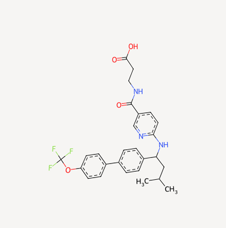 CC(C)CC(Nc1ccc(C(=O)NCCC(=O)O)cn1)c1ccc(-c2ccc(OC(F)(F)F)cc2)cc1